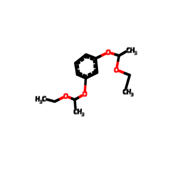 CCOC(C)Oc1cccc(OC(C)OCC)c1